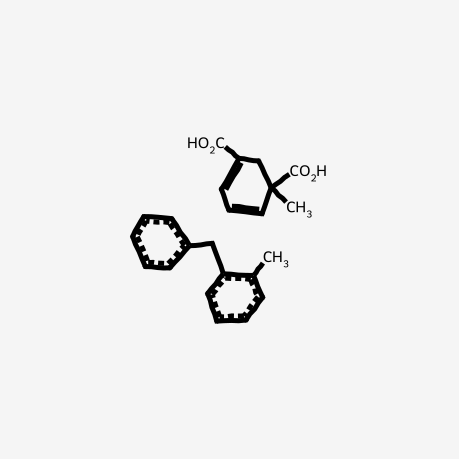 CC1(C(=O)O)C=CC=C(C(=O)O)C1.Cc1ccccc1Cc1ccccc1